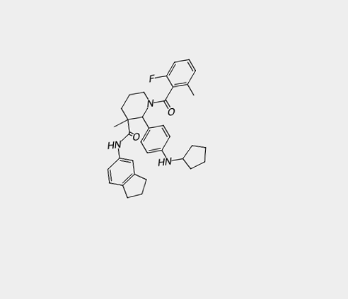 Cc1cccc(F)c1C(=O)N1CCCC(C)(C(=O)Nc2ccc3c(c2)CCC3)C1c1ccc(NC2CCCC2)cc1